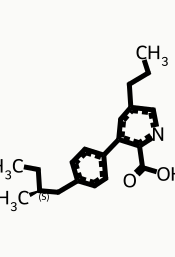 CCCc1cnc(C(=O)O)c(-c2ccc(C[C@@H](C)CC)cc2)c1